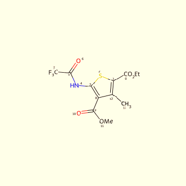 CCOC(=O)c1sc(NC(=O)C(F)(F)F)c(C(=O)OC)c1C